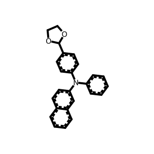 c1ccc(N(c2ccc(C3OCCO3)cc2)c2ccc3ccccc3c2)cc1